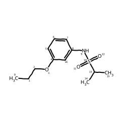 CCCOc1cccc(NS(=O)(=O)C(C)C)c1